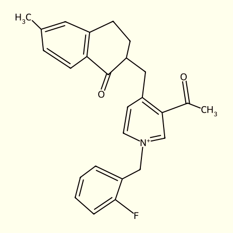 CC(=O)c1c[n+](Cc2ccccc2F)ccc1CC1CCc2cc(C)ccc2C1=O